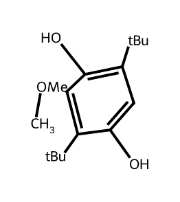 CC(C)(C)c1cc(O)c(C(C)(C)C)cc1O.COC